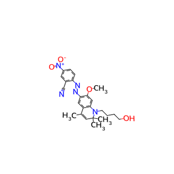 COc1cc2c(cc1/N=N/c1ccc([N+](=O)[O-])cc1C#N)C(C)=CC(C)(C)N2CCCCO